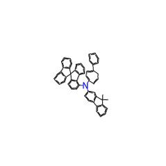 CC1(C)c2ccccc2-c2ccc(N(C3=CC=C(c4ccccc4)CC=C3)c3cccc4c3-c3ccccc3C43c4ccccc4-c4ccccc43)cc21